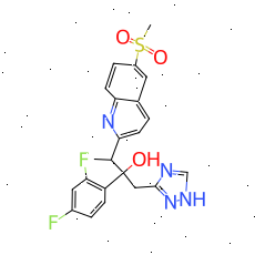 CC(c1ccc2cc(S(C)(=O)=O)ccc2n1)C(O)(Cc1nc[nH]n1)c1ccc(F)cc1F